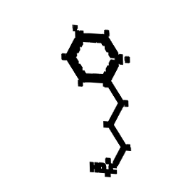 O=C(O)CCCc1ccncn1